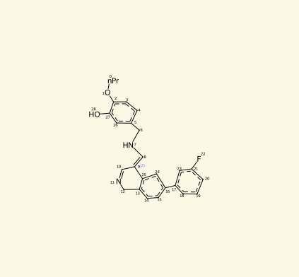 CCCOc1ccc(CN/C=C2\C=NCc3ccc(-c4cccc(F)c4)cc32)cc1O